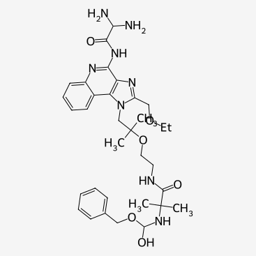 CCOCc1nc2c(NC(=O)C(N)N)nc3ccccc3c2n1CC(C)(C)OCCNC(=O)C(C)(C)NC(O)OCc1ccccc1